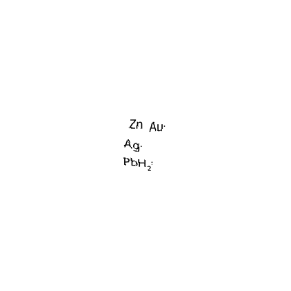 [Ag].[Au].[PbH2].[Zn]